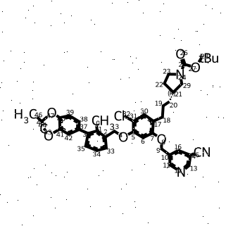 Cc1c(COc2cc(OCc3cncc(C#N)c3)c(CCC[C@@H]3CCN(C(=O)OC(C)(C)C)C3)cc2Cl)cccc1-c1ccc2c(c1)OCC(C)O2